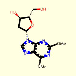 CNc1nc(OC)nc2c1ncn2[C@@H]1C[C@@H](O)[C@H](CO)O1